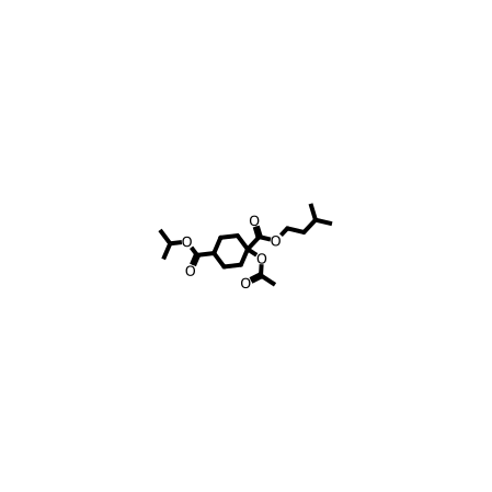 CC(=O)OC1(C(=O)OCCC(C)C)CCC(C(=O)OC(C)C)CC1